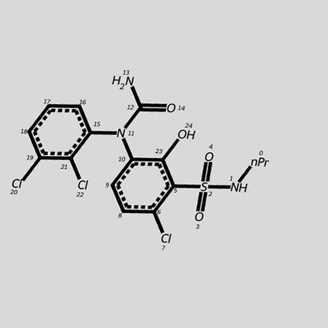 CCCNS(=O)(=O)c1c(Cl)ccc(N(C(N)=O)c2cccc(Cl)c2Cl)c1O